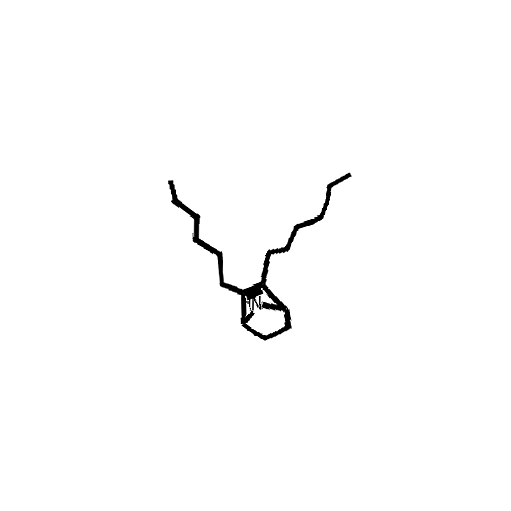 CCCCCCC1=C(CCCCCC)C2CCC1N2